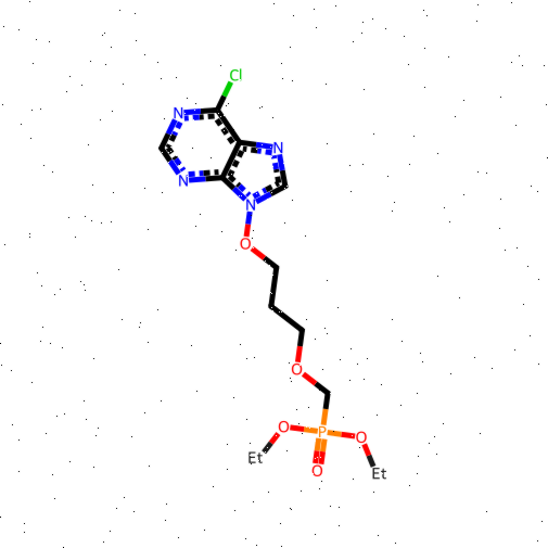 CCOP(=O)(COCCCOn1cnc2c(Cl)ncnc21)OCC